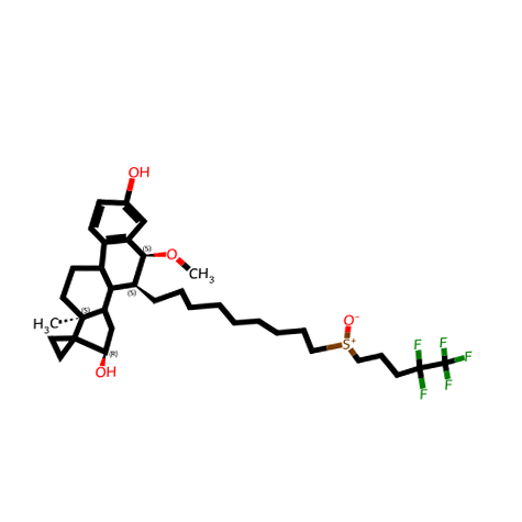 CO[C@@H]1c2cc(O)ccc2C2CC[C@@]3(C)C(C[C@@H](O)C34CC4)C2[C@@H]1CCCCCCCCC[S+]([O-])CCCC(F)(F)C(F)(F)F